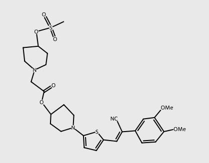 COc1ccc(/C(C#N)=C/c2ccc(N3CCC(OC(=O)CN4CCC(OS(C)(=O)=O)CC4)CC3)s2)cc1OC